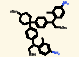 CCCCCCCCCCCC(c1ccc(C2(c3ccc(C(CCCCCCCCCCC)c4ccc(N)cc4C)cc3)CCC(CCCCCCCCC)CC2)cc1)c1ccc(N)cc1C